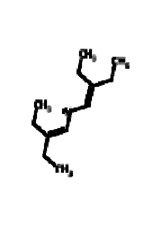 CCC(=C[Si]C=C(CC)CC)CC